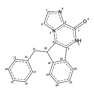 O=c1[nH]c2c(n3ccnc13)C(Cc1ccccc1)c1ccccc1-2